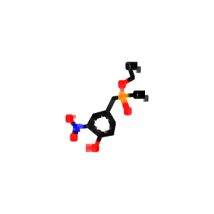 CCOP(C)(=O)Cc1ccc(O)c([N+](=O)[O-])c1